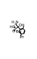 Cc1ccc(C(C)C)cc1C(O)(CN)P(=O)(O)O